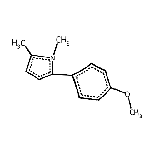 COc1ccc(-c2ccc(C)n2C)cc1